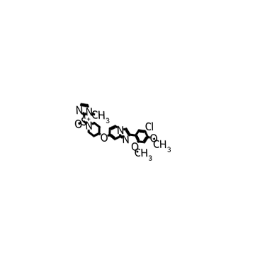 COc1cc(OC)c(-c2cn3ccc(OC4CCN([S+]([O-])c5nccn5C)CC4)cc3n2)cc1Cl